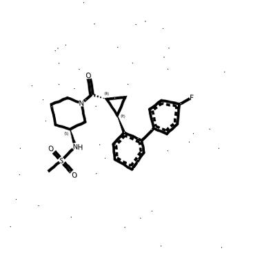 CS(=O)(=O)N[C@H]1CCCN(C(=O)[C@@H]2C[C@H]2c2ccccc2-c2ccc(F)cc2)C1